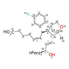 CCCCC[C@H](O)/C=C/[C@@H]1[C@@H](C/C=C\CCCC(=O)O)[C@@]2(c3ccc(F)cc3)CO[C@@H]1C2